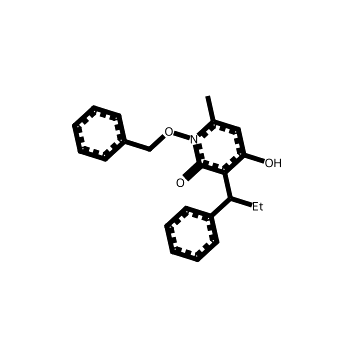 CCC(c1ccccc1)c1c(O)cc(C)n(OCc2ccccc2)c1=O